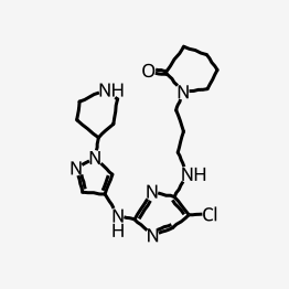 O=C1CCCCN1CCCNc1nc(Nc2cnn(C3CCNCC3)c2)ncc1Cl